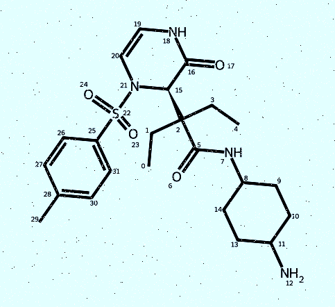 CCC(CC)(C(=O)NC1CCC(N)CC1)[C@@H]1C(=O)NC=CN1S(=O)(=O)c1ccc(C)cc1